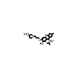 COc1cc2c(NC(C)C)c3c(nc2cc1OCCCN1CCC(O)C1)CC(C)C3